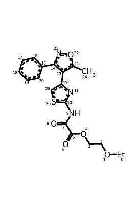 CCOCCOC(=O)C(=O)Nc1nc(-c2c(-c3ccccc3)noc2C)cs1